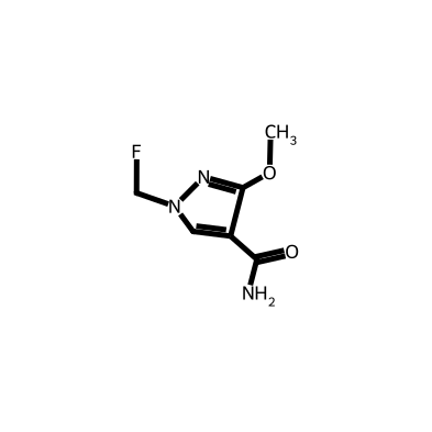 COc1nn(CF)cc1C(N)=O